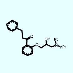 CCCN(CC)CC(O)COc1ccccc1C(=O)CCc1ccccc1